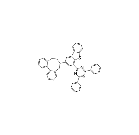 c1ccc(-c2nc(-c3ccccc3)nc(-c3cc(C4CCc5ccccc5-c5ccccc5C4)cc4c3sc3ccccc34)n2)cc1